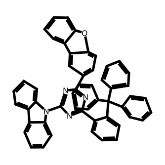 c1ccc(C(c2ccccc2)(c2ccccc2)c2ccccc2-c2nc(-c3ccc4oc5ccccc5c4c3)nc(-n3c4ccccc4c4ccccc43)n2)cc1